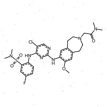 COc1cc2c(cc1Nc1ncc(Cl)c(Nc3ccc(F)cc3S(=O)(=O)N(C)C)n1)CCN(CC(=O)N(C)C)CC2